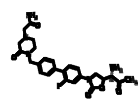 CC(=O)[C@@H](N)C1CN(c2ccc(-c3ccc(CN4CCN(CC(N)=O)CC4=O)cc3)c(F)c2)C(=O)O1